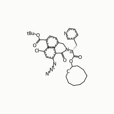 CC(C)(C)OC(=O)c1ccc(CN(C(=O)c2ccc(Cl)cc2N=[N+]=[N-])[C@H](Cc2cccnc2)C(=O)OC2CCCCCCCCC2)cc1